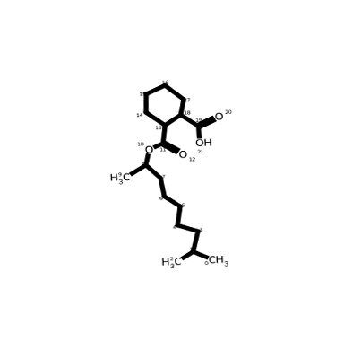 CC(C)CCCCCC(C)OC(=O)C1CCCCC1C(=O)O